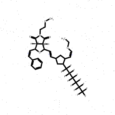 CCO/C=C\C1CC(/C=C/C2OC(/C=C\c3ccccc3)[C@@H]3C(=O)N(CCOC)C(=O)[C@H]23)CC1C(F)(F)C(F)(F)C(F)(F)C(F)(F)C(F)(F)C(F)(F)F